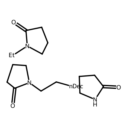 CCCCCCCCCCCCN1CCCC1=O.CCN1CCCC1=O.O=C1CCCN1